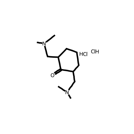 CN(C)CC1CCCC(CN(C)C)C1=O.Cl.Cl